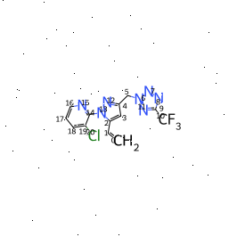 C=Cc1cc(Cn2nnc(C(F)(F)F)n2)nn1-c1ncccc1Cl